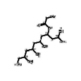 CC(=O)CC(=O)OC(CC(O)CC(O)CC(O)CC(C)(C)C)CC(O)C(C)(C)C